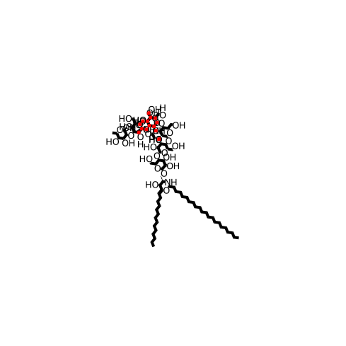 CCCCCCCCCCCCC/C=C/[C@@H](O)[C@H](CO[C@@H]1OC(CO)[C@@H](O[C@@H]2OC(CO)[C@H](O[C@@H]3OC(CO)[C@H](O[C@@H]4OC(CO)[C@H](O)[C@H](O[C@@H]5OC(CO)[C@H](O)[C@H](O[C@H]6C(O)[C@H](O)C(C)O[C@H]6O)C5O)C4NC(C)=O)[C@H](O[C@@H]4OC(CO)[C@H](O)[C@H](O)C4NC(C)=O)C3O)[C@H](O)C2O)[C@H](O)C1O)NC(=O)CCCCCCCCCCCCCCCCCCCCC